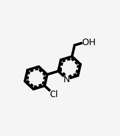 OCc1ccnc(-c2ccccc2Cl)c1